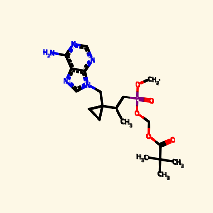 [CH2]OP(=O)(CC(C)C1(Cn2cnc3c(N)ncnc32)CC1)OCOC(=O)C(C)(C)C